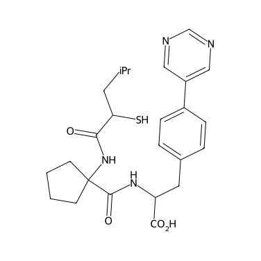 CC(C)CC(S)C(=O)NC1(C(=O)NC(Cc2ccc(-c3cncnc3)cc2)C(=O)O)CCCC1